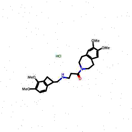 COc1cc2c(cc1OC)CCN(C(=O)CCNCC1Cc3c1ccc(OC)c3OC)CC2.Cl